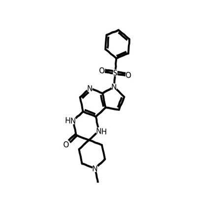 CN1CCC2(CC1)Nc1c(cnc3c1ccn3S(=O)(=O)c1ccccc1)NC2=O